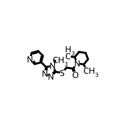 CC1CCCC(C)N1C(=O)CSc1nnc(-c2cccnc2)n1C